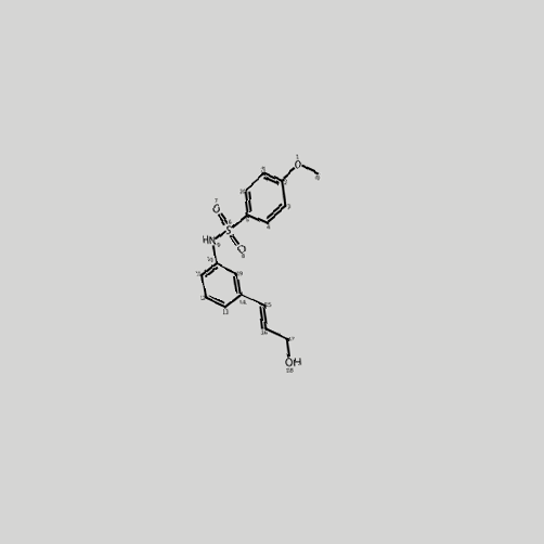 COc1ccc(S(=O)(=O)Nc2cccc(/C=C/CO)c2)cc1